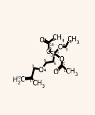 C=C(C)COCC[Si](OCC)(OC(C)=O)OC(C)=O